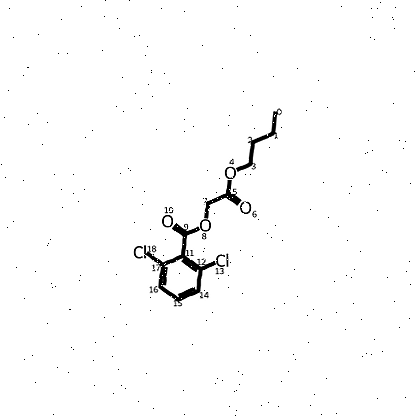 CCCCOC(=O)COC(=O)c1c(Cl)cccc1Cl